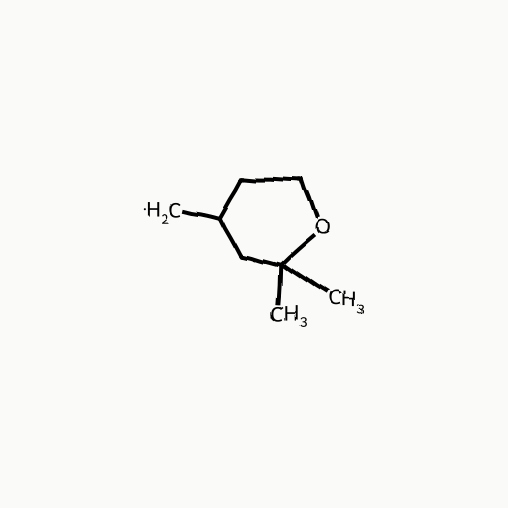 [CH2]C1CCOC(C)(C)C1